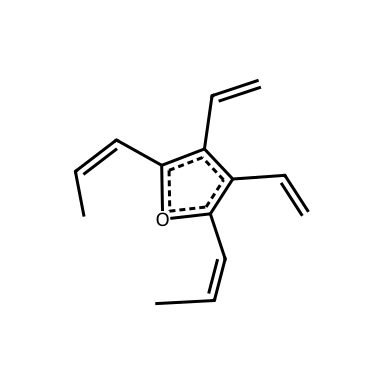 C=Cc1c(/C=C\C)oc(/C=C\C)c1C=C